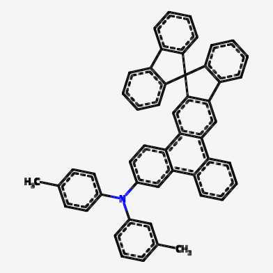 Cc1ccc(N(c2cccc(C)c2)c2ccc3c(c2)c2ccccc2c2cc4c(cc32)C2(c3ccccc3-c3ccccc32)c2ccccc2-4)cc1